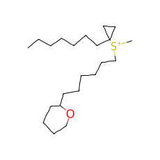 CCCCCCCC1([S+](C)CCCCCCC2CCCCO2)CC1